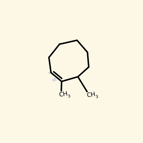 C/C1=[C]/CCCCCC1C